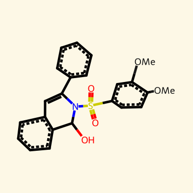 COc1ccc(S(=O)(=O)N2C(c3ccccc3)=Cc3ccccc3C2O)cc1OC